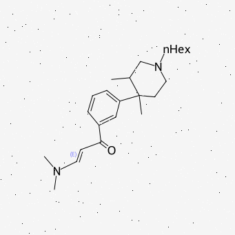 CCCCCCN1CCC(C)(c2cccc(C(=O)/C=C/N(C)C)c2)C(C)C1